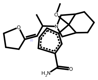 COC1(c2cccc(C(N)=O)c2)C2CCCC1CN(C(C)/C=C1/CCCO1)C2